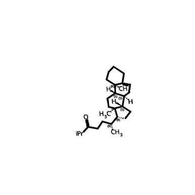 CC(C)C(=O)CC[C@@H](C)[C@H]1CC[C@H]2[C@@H]3CC=C4CCCC[C@]4(C)[C@H]3CC[C@]12C